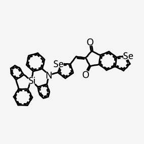 O=C1/C(=C\c2ccc(N3c4ccccc4[Si]4(c5ccccc5-c5ccccc54)c4ccccc43)[se]2)C(=O)c2cc3[se]ccc3cc21